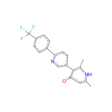 Cc1cc(=O)c(-c2ccc(-c3ccc(C(F)(F)F)cc3)nc2)c(C)[nH]1